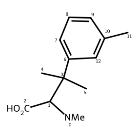 CNC(C(=O)O)C(C)(C)c1cccc(C)c1